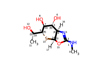 CNC1=N[C@@H]2[C@@H](O)[C@H](O)[C@@H]([C@H](C)O)S[C@@H]2O1